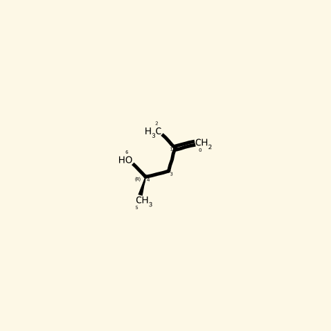 C=C(C)C[C@@H](C)O